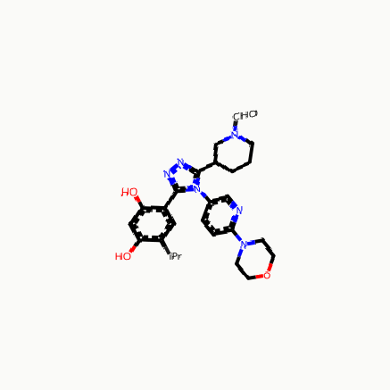 CC(C)c1cc(-c2nnc(C3CCCN(C=O)C3)n2-c2ccc(N3CCOCC3)nc2)c(O)cc1O